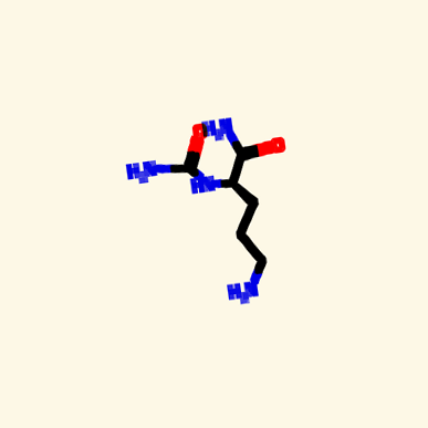 NCCC[C@@H](NC(N)=O)C(N)=O